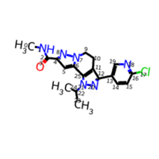 CNC(=O)c1cc2n(n1)CCc1c(-c3ccc(Cl)nc3)nn(C(C)C)c1-2